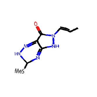 CC=Cn1[nH]c2c(c1=O)=NNC(SC)N=2